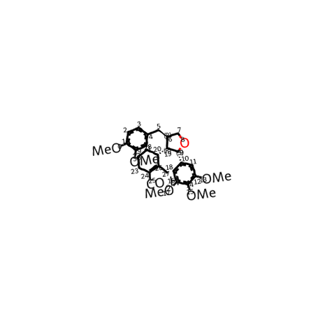 COc1ccc(C[C@H]2CO[C@H](c3cc(OC)c(OC)c(OC)c3)[C@@H]2C2CCCC(C(=O)O)=C2C)cc1OC